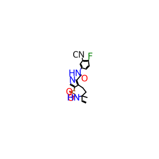 C=CC1(C)CCc2c(cn(C)c2C(=O)Nc2ccc(F)c(C#N)c2)S(=O)(=O)N1